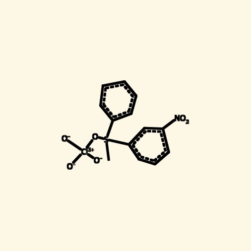 CS(O[Cl+3]([O-])([O-])[O-])(c1ccccc1)c1cccc([N+](=O)[O-])c1